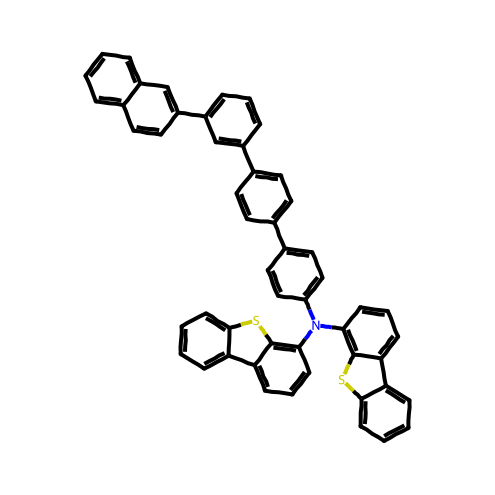 c1cc(-c2ccc(-c3ccc(N(c4cccc5c4sc4ccccc45)c4cccc5c4sc4ccccc45)cc3)cc2)cc(-c2ccc3ccccc3c2)c1